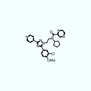 COc1ccc(-c2nc(-c3ccncc3)nn2CCN(C(=O)c2cnccn2)C2CCCC2)cc1Cl